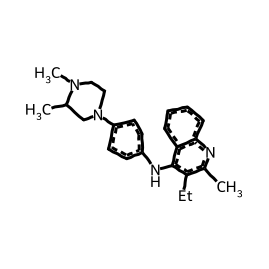 CCc1c(C)nc2ccccc2c1Nc1ccc(N2CCN(C)C(C)C2)cc1